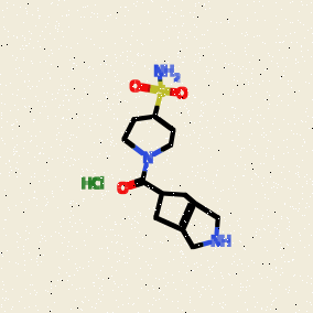 Cl.NS(=O)(=O)C1CCN(C(=O)C2CC3=C(CNC3)C2)CC1